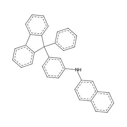 c1ccc(C2(c3cccc(Nc4ccc5ccccc5c4)c3)c3ccccc3-c3ccccc32)cc1